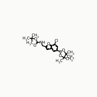 CC(C)(C)OC(=O)NCc1cc2cc(B3OC(C)(C)C(C)(C)O3)cc(Cl)c2o1